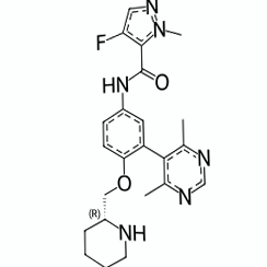 Cc1ncnc(C)c1-c1cc(NC(=O)c2c(F)cnn2C)ccc1OC[C@H]1CCCCN1